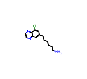 NCCCCCCc1cc(Cl)c2nccnc2c1